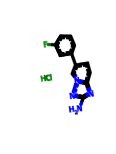 Cl.Nc1nc2ccc(-c3cccc(F)c3)cn2n1